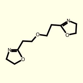 C1COC(CCOCCC2=NCCO2)=N1